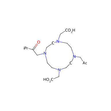 CC(=O)CN1CCN(CC(=O)O)CCN(CC(=O)C(C)C)CCN(CC(=O)O)CC1